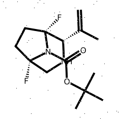 C=C(C)[C@@H]1NC[C@@]2(F)CC[C@]1(F)N2C(=O)OC(C)(C)C